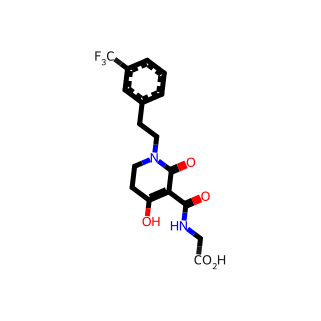 O=C(O)CNC(=O)C1=C(O)CCN(CCc2cccc(C(F)(F)F)c2)C1=O